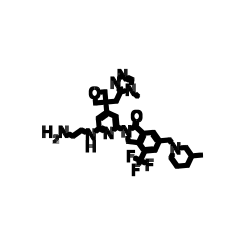 CC1CCCN(Cc2cc3c(c(C(F)(F)F)c2)CN(c2cc(C4(Cc5nncn5C)COC4)cc(NCCN)n2)C3=O)C1